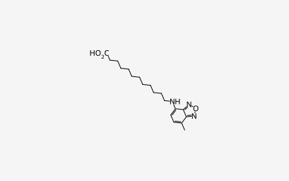 Cc1ccc(NCCCCCCCCCCCC(=O)O)c2nonc12